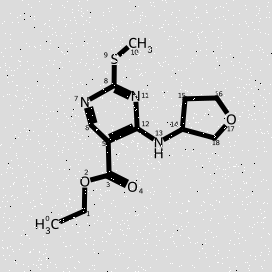 CCOC(=O)c1cnc(SC)nc1NC1CCOC1